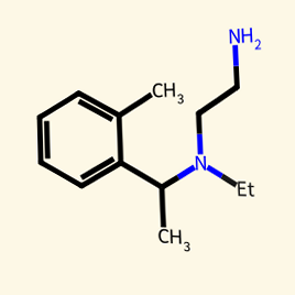 CCN(CCN)C(C)c1ccccc1C